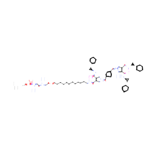 CC(C)(C)OC(=O)NCC(=O)NCC(=O)OCCCCCCCCCCCCNC(=O)C1CN(C(=O)c2ccc(C(=O)N3CC(C(=O)N[C@@H]4C[C@@H]4c4ccccc4)C(C(=O)N[C@@H]4C[C@@H]4c4ccccc4)C3)cc2)CC1C(=O)N[C@@H]1C[C@@H]1c1ccccc1